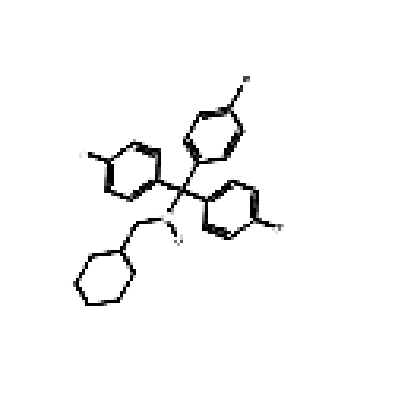 [O-][S+](CC1CCCCC1)C(c1ccc(F)cc1)(c1ccc(F)cc1)c1ccc(F)cc1